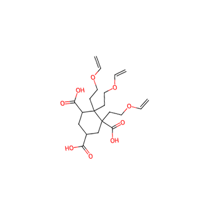 C=COCCC1(C(=O)O)CC(C(=O)O)CC(C(=O)O)C1(CCOC=C)CCOC=C